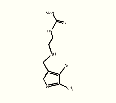 CNC(=S)NCCNCc1snc(C)c1Br